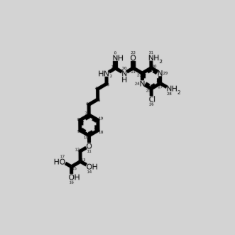 N=C(NCCCCc1ccc(OCC(O)C(O)O)cc1)NC(=O)c1nc(Cl)c(N)nc1N